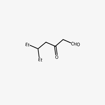 CCC(CC)CC(=O)CC=O